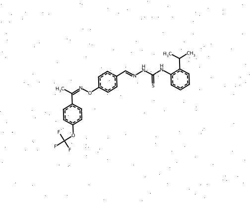 CC(=NOc1ccc(C=NNC(=S)Nc2ccccc2C(C)C)cc1)c1ccc(OC(F)(F)F)cc1